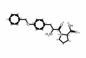 NC(Cc1ccc(OCc2ccccc2)cc1)C(=O)N1CCCC1C(=O)O